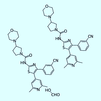 Cc1cc(-c2sc(NC(=O)N3CCC(N4CCOCC4)C3)nc2-c2cccc(C#N)c2)cc(C)n1.Cc1cc(-c2sc(NC(=O)N3CCC(N4CCOCC4)C3)nc2-c2cccc(C#N)c2)cc(C)n1.O=CO